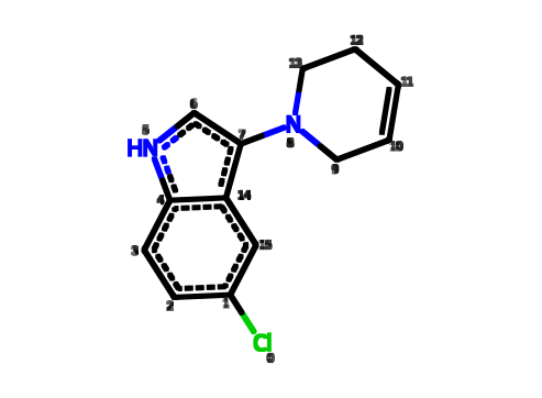 Clc1ccc2[nH]cc(N3CC=CCC3)c2c1